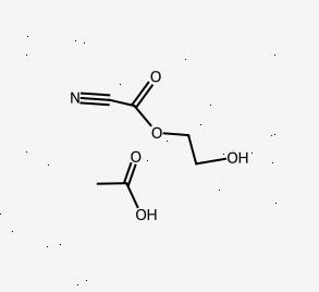 CC(=O)O.N#CC(=O)OCCO